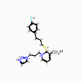 O=C(O)C1=CC=CN(CCCn2ccnn2)C1SCCCc1ccc(F)cc1